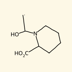 [CH2]C(O)N1CCCCC1C(=O)O